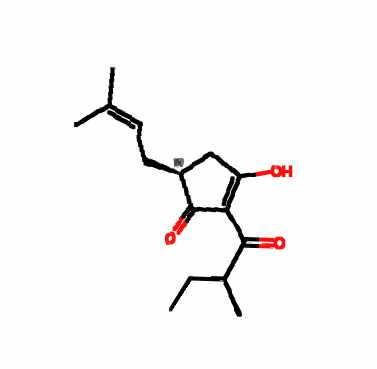 CCC(C)C(=O)C1=C(O)C[C@H](CC=C(C)C)C1=O